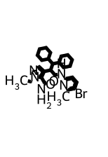 CCn1ncc(C(C(=O)Nc2ccc(Br)c(C)n2)C(C2CCCCC2)C2CCCCC2)c1C(N)=O